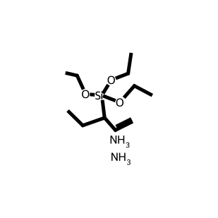 C=CC(CC)[Si](OCC)(OCC)OCC.N.N